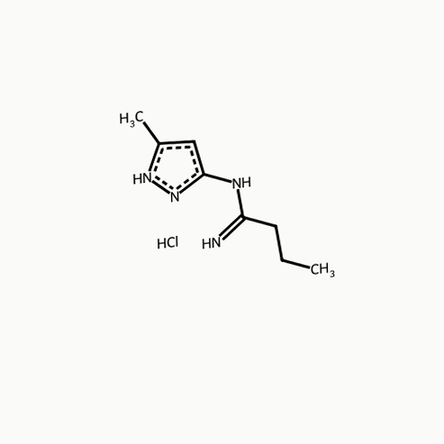 CCCC(=N)Nc1cc(C)[nH]n1.Cl